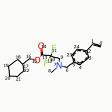 C=Cc1ccc(CN(C)CC(F)(F)C(=O)OCC2CCCCC2)cc1